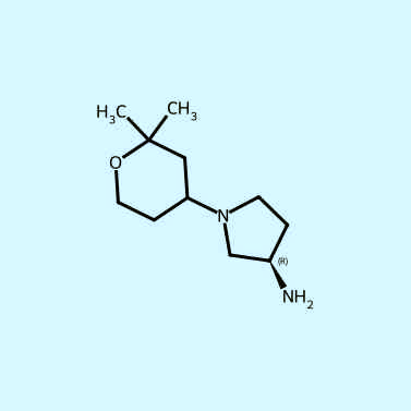 CC1(C)CC(N2CC[C@@H](N)C2)CCO1